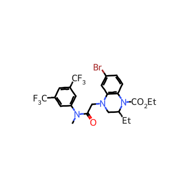 CCOC(=O)N1c2ccc(Br)cc2N(CC(=O)N(C)c2cc(C(F)(F)F)cc(C(F)(F)F)c2)CC1CC